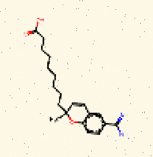 CC1(CCCCCCCCC(=O)O)C=Cc2cc(C(=N)N)ccc2O1